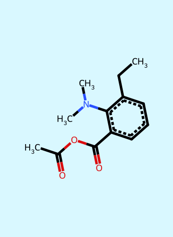 CCc1cccc(C(=O)OC(C)=O)c1N(C)C